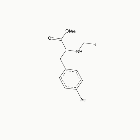 COC(=O)C(Cc1ccc(C(C)=O)cc1)NCI